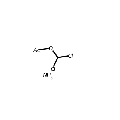 CC(=O)OC(Cl)Cl.N